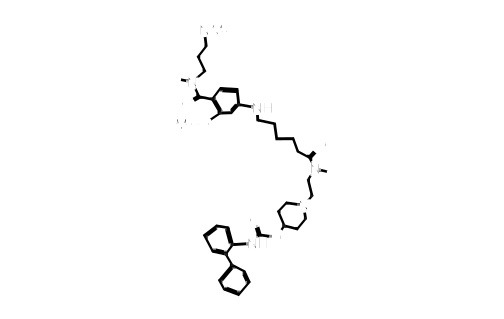 CNCCCN(C)C(=O)c1ccc(NCCCCCC(=O)N(C)CCN2CCC(OC(=O)Nc3ccccc3-c3ccccc3)CC2)cc1OC